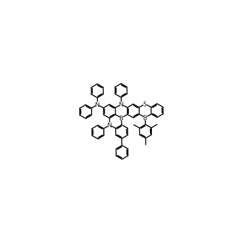 Cc1cc(C)c(B2c3ccccc3Sc3cc4c(cc32)B2c3ccc(-c5ccccc5)cc3N(c3ccccc3)c3cc(N(c5ccccc5)c5ccccc5)cc(c32)N4c2ccccc2)c(C)c1